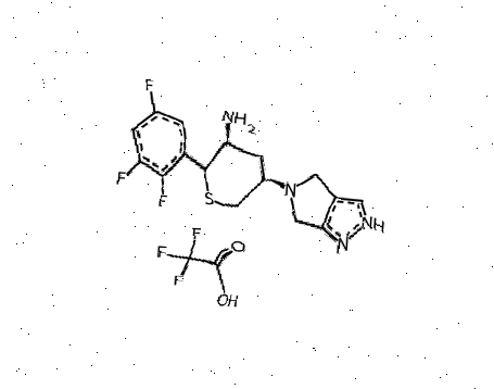 N[C@H]1C[C@@H](N2Cc3c[nH]nc3C2)CSC1c1cc(F)cc(F)c1F.O=C(O)C(F)(F)F